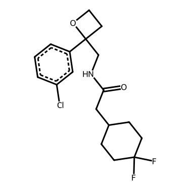 O=C(CC1CCC(F)(F)CC1)NCC1(c2cccc(Cl)c2)CCO1